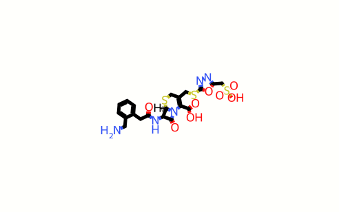 NCc1ccccc1CC(=O)NC1C(=O)N2C(C(=O)O)=C(CSc3nnc(CS(=O)(=O)O)o3)CS[C@H]12